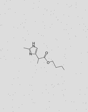 CCCCOC(=O)C(C)c1c[nH]c(C)n1